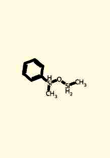 C[SiH2]O[SiH](C)c1ccccc1